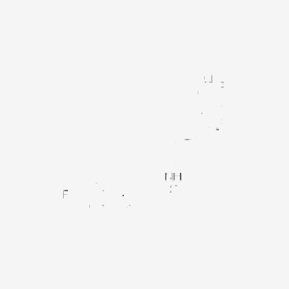 COc1cccc(C2CCC(NCCCC(=O)c3ccc(F)cc3)CC2)c1.Cl